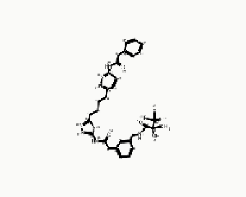 CC(O)(C(=O)NCc1cccc(CC(=O)Nc2nnc(CCCCc3ccc(NC(=O)Cc4ccccc4)nn3)s2)c1)C(F)(F)F